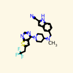 CN(Cc1ccc2[nH]c(C#N)cc2c1)C1CCN(c2ncnc3sc(CC(F)(F)F)cc23)CC1